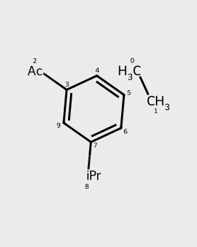 CC.CC(=O)c1cccc(C(C)C)c1